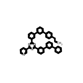 C=CCc1ccc(-c2cccc(-c3cccc(-c4nc(-c5cccnc5)nc(-c5cccc(-c6cccc(-c7ccccc7)c6)c5)n4)c3)c2)cc1